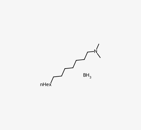 B.CCCCCCCCCCCCCN(C)C